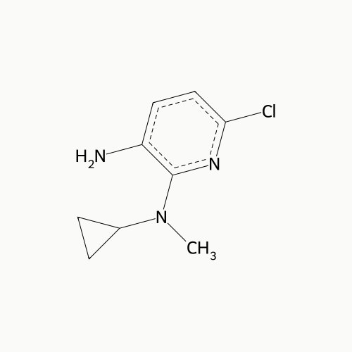 CN(c1nc(Cl)ccc1N)C1CC1